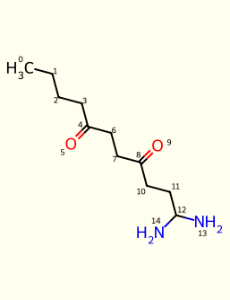 CCCCC(=O)CCC(=O)CCC(N)N